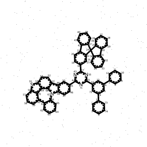 c1ccc(-c2cc(-c3ccccc3)cc(-c3nc(-c4ccc5c(c4)C4(c6ccccc6-c6ccccc64)c4ccccc4-5)nc(-c4ccc5c(c4)c4ccc6sc7cccc8c9ccccc9n5c4c6c78)n3)c2)cc1